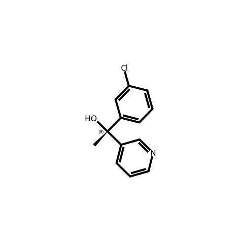 C[C@](O)(c1cccnc1)c1cccc(Cl)c1